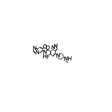 CCNC1CCN(c2cc(F)c(C(=O)Nc3cn4ccnc4cc3OC)c3nn(C)cc23)CC1